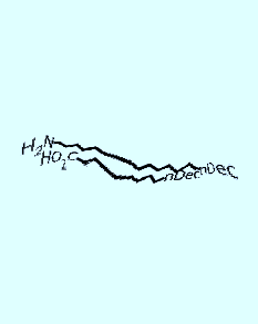 CCCCCCCCCCCCCCCCCC(=O)O.CCCCCCCCCCCCCCCCCCCCCCCCN